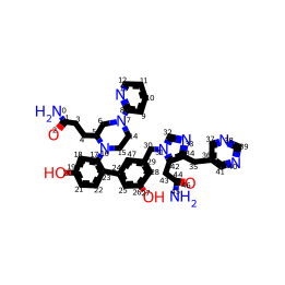 NC(=O)CCC1CN(c2ccccn2)CCN1c1cc(O)ccc1-c1cc(O)cc(Cn2cnc(Cc3cncnc3)c2CC(N)=O)c1